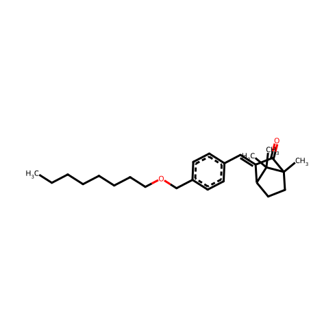 CCCCCCCCOCc1ccc(C=C2C(=O)C3(C)CCC2C3(C)C)cc1